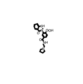 CN(C(=O)c1ccccc1S)c1cc(C(=O)NCCN2CCCC2)ccc1OO